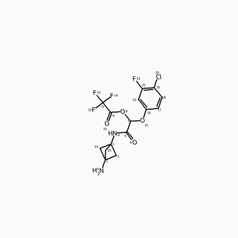 NC12CC(NC(=O)C(OC(=O)C(F)(F)F)Oc3ccc(Cl)c(F)c3)(C1)C2